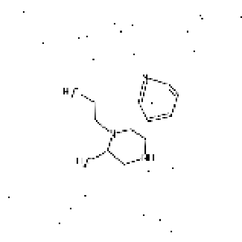 CCCN1CCNCC1C.c1ccncc1